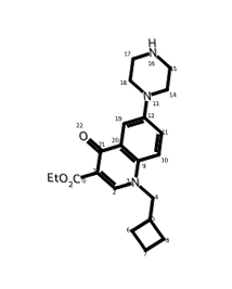 CCOC(=O)c1cn(CC2CCC2)c2ccc(N3CCNCC3)cc2c1=O